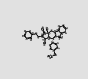 COc1ccc([C@H]2c3[nH]c4ccccc4c3C[C@H]3C(=O)N(CCc4ccccn4)C(=O)N23)cc1